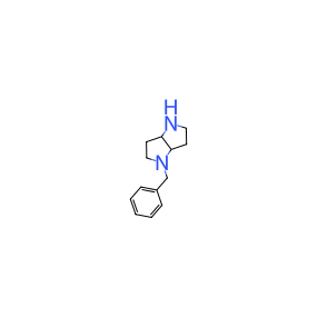 c1ccc(CN2CCC3NCCC32)cc1